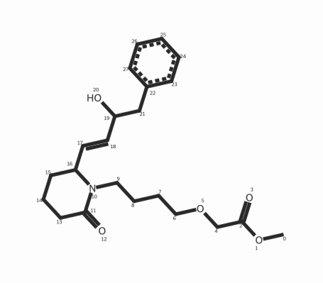 COC(=O)COCCCCN1C(=O)CCCC1C=CC(O)Cc1ccccc1